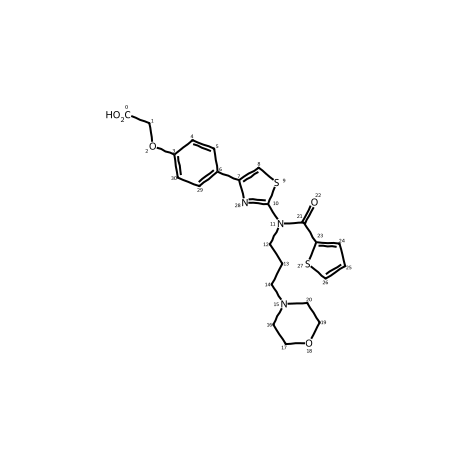 O=C(O)COc1ccc(-c2csc(N(CCCN3CCOCC3)C(=O)c3cccs3)n2)cc1